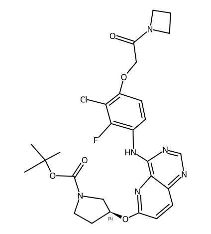 CC(C)(C)OC(=O)N1CC[C@H](Oc2ccc3ncnc(Nc4ccc(OCC(=O)N5CCC5)c(Cl)c4F)c3n2)C1